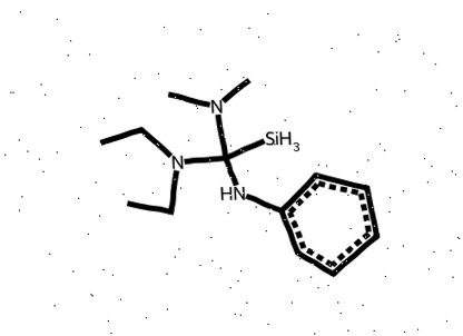 CCN(CC)C([SiH3])(Nc1ccccc1)N(C)C